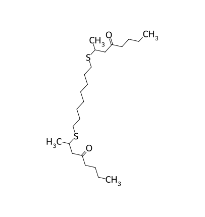 CCCCC(=O)CC(C)SCCCCCCCCSC(C)CC(=O)CCCC